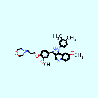 COc1ccc2ncc3c(-c4ccc(OCCCN5CCOCC5)c(OC)c4)nn(-c4ccc(C)c(C)c4)c3c2c1